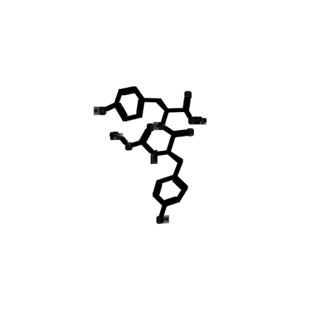 COC(=O)[C@H](Cc1ccc(O)cc1)NC(=O)[C@@H](Cc1ccc(O)cc1)NC(=O)OC(C)(C)C